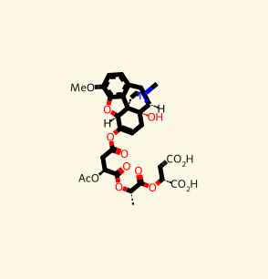 COc1ccc2c3c1O[C@@H]1C(OC(=O)C[C@H](OC(C)=O)C(=O)O[C@@H](C)C(=O)O[C@H](CC(=O)O)C(=O)O)=CC[C@]4(O)[C@H](C2)N(C)CC[C@@]314